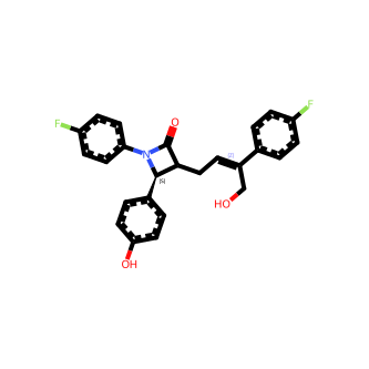 O=C1C(C/C=C(\CO)c2ccc(F)cc2)[C@@H](c2ccc(O)cc2)N1c1ccc(F)cc1